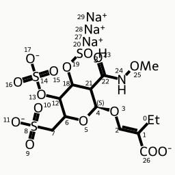 CCC(=CO[C@H]1OC(CS(=O)(=O)[O-])C(OS(=O)(=O)[O-])C(OS(=O)(=O)O)C1C(=O)NOC)C(=O)[O-].[Na+].[Na+].[Na+]